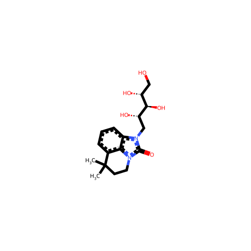 CC1(C)CCn2c(=O)n(C[C@H](O)[C@H](O)[C@H](O)CO)c3cccc1c32